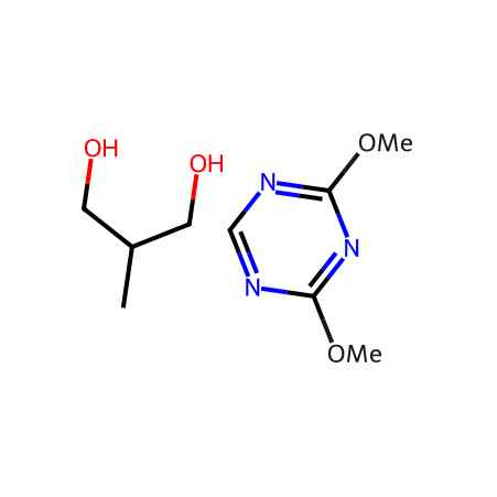 CC(CO)CO.COc1ncnc(OC)n1